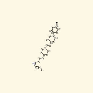 C/C=C\CCC[C@H]1CC[C@H](CCC2CCC(c3ccc(F)cc3)CC2)CC1